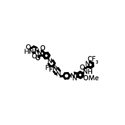 COc1cc2nn(C3CCC(CN4CCN([C@@H]5CCN(c6ccc7c(c6)C(=O)N(N6CCC(=O)NC6=O)C7=O)CC5(F)F)CC4)CC3)cc2cc1NC(=O)c1cccc(C(F)(F)F)n1